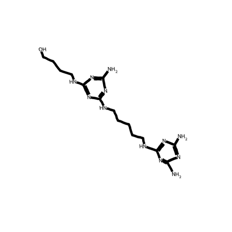 Nc1nc(N)nc(NCCCCCNc2nc(N)nc(NCCCCO)n2)n1